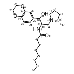 CCCCCCCC(=O)N[C@H](CN1CCC[C@@H]1C)C(O)c1ccc2c(c1)OCCO2